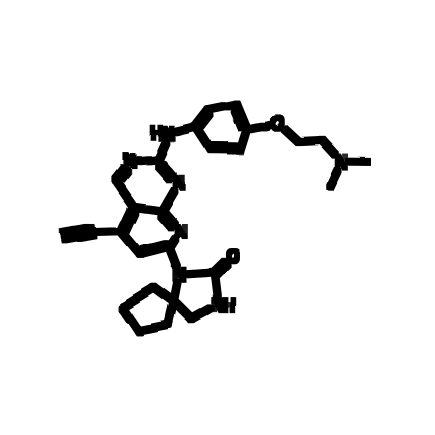 C#Cc1cc(N2C(=O)NCC23CCCC3)nc2nc(Nc3ccc(OCCN(C)C)cc3)ncc12